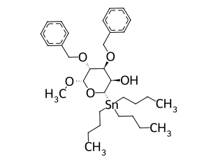 CCC[CH2][Sn]([CH2]CCC)([CH2]CCC)[C@@H]1O[C@H](OC)[C@H](OCc2ccccc2)[C@@H](OCc2ccccc2)[C@H]1O